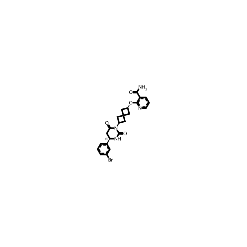 NC(=O)c1cccnc1O[C@H]1CC2(C1)C[C@H](N1C(=O)C[C@H](c3cccc(Br)c3)NC1=O)C2